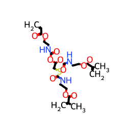 C=CC(=O)OCCNC(=O)OC(CSC(=O)NCCOC(=O)C(=C)C)OC(=O)NCCOC(=O)C(=C)C